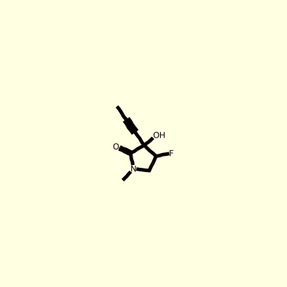 CC#CC1(O)C(=O)N(C)CC1F